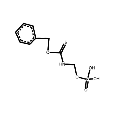 O=P(O)(O)OCNC(=S)OCc1ccccc1